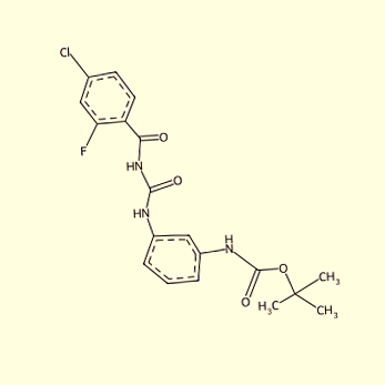 CC(C)(C)OC(=O)Nc1cccc(NC(=O)NC(=O)c2ccc(Cl)cc2F)c1